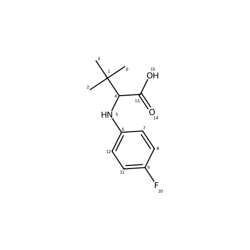 CC(C)(C)C(Nc1ccc(F)cc1)C(=O)O